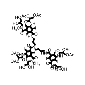 CC(=O)OCC(OC(C)=O)C(=O)Nc1c(I)c(C(=O)NCCCCN(CCCNC(=O)c2c(I)c(NC(=O)C(COC(C)=O)OC(C)=O)c(I)c(C(=O)N(C)CC(O)CO)c2I)C(=O)c2c(I)c(NC(=O)C(COC(C)=O)OC(C)=O)c(I)c(C(=O)N(C)CC(O)CO)c2I)c(I)c(C(=O)N(C)CC(O)CO)c1I